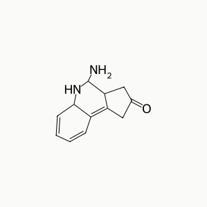 NC1NC2C=CC=CC2=C2CC(=O)CC21